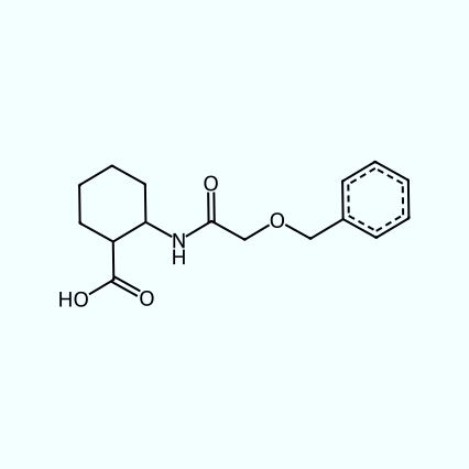 O=C(COCc1ccccc1)NC1CCCCC1C(=O)O